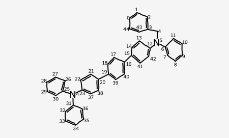 c1ccc(CN(c2ccccc2)c2ccc(-c3ccc(-c4ccc(N(c5ccccc5)c5ccccc5)cc4)cc3)cc2)cc1